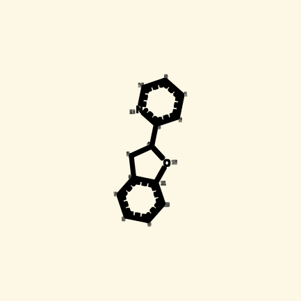 c1ccc(C2Cc3ccccc3O2)nc1